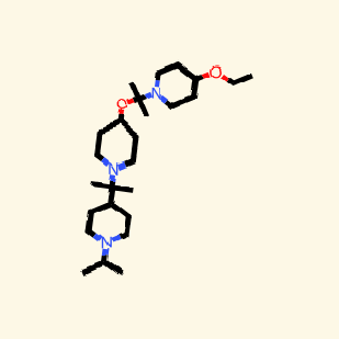 CCOC1CCN(C(C)(C)OC2CCN(C(C)(C)C3CCN(C(C)C)CC3)CC2)CC1